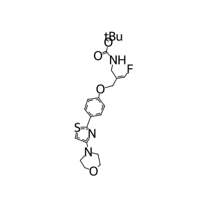 CC(C)(C)OC(=O)NC/C(=C\F)COc1ccc(-c2nc(N3CCOCC3)cs2)cc1